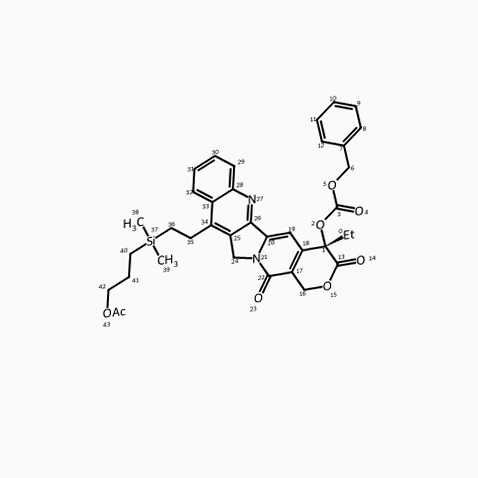 CC[C@@]1(OC(=O)OCc2ccccc2)C(=O)OCc2c1cc1n(c2=O)Cc2c-1nc1ccccc1c2CC[Si](C)(C)CCCOC(C)=O